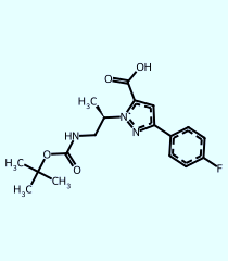 C[C@H](CNC(=O)OC(C)(C)C)n1nc(-c2ccc(F)cc2)cc1C(=O)O